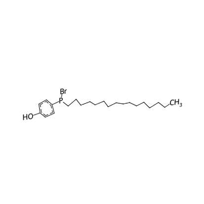 CCCCCCCCCCCCCCCCP(Br)c1ccc(O)cc1